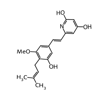 COc1cc(/C=C/c2cc(O)cc(O)n2)cc(O)c1CC=C(C)C